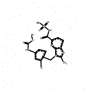 CCCCS(=O)(=O)NC(=O)c1ccc2nc(C)n(Cc3ccc(NC(=O)OC(C)C)cc3Cl)c2n1